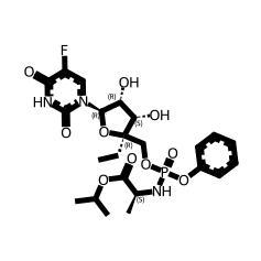 CC[C@]1(COP(=O)(N[C@@H](C)C(=O)OC(C)C)Oc2ccccc2)O[C@@H](n2cc(F)c(=O)[nH]c2=O)[C@H](O)[C@@H]1O